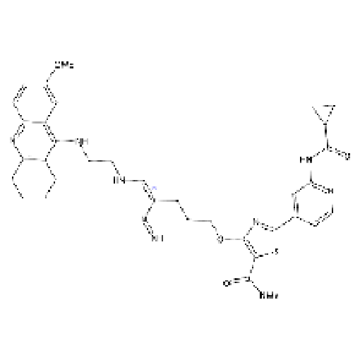 CNC(=O)c1sc(-c2ccnc(NC(=O)C3CC3)c2)nc1OCCC/C(=C/NCCNc1c2c(nc3ccc(OC)cc13)CCCC2)N=N